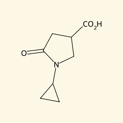 O=C(O)C1CC(=O)N(C2CC2)C1